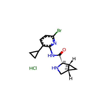 Cl.O=C(Nc1nc(Br)ccc1C1CC1)[C@H]1NC[C@H]2C[C@H]21